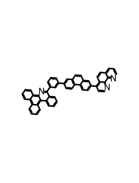 c1cc(-c2ccc3c(ccc4cc(-c5ccnc6c5ccc5cccnc56)ccc43)c2)cc(-c2nc3c4ccccc4c4ccccc4c3c3ccccc23)c1